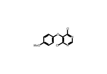 COc1ccc(Oc2c(Cl)ncnc2Cl)cc1